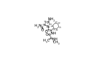 CN[C@@H](C)C(=O)N[C@H](C(=O)N1C[C@@H](N)C[C@H]1C(N)=O)C1CCCCC1